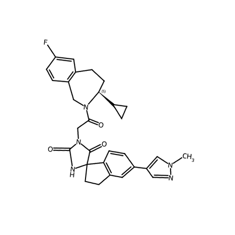 Cn1cc(-c2ccc3c(c2)CCC32NC(=O)N(CC(=O)N3Cc4ccc(F)cc4CC[C@H]3C3CC3)C2=O)cn1